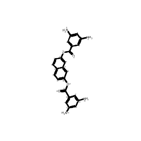 Nc1cc(N)cc(C(=O)Oc2ccc3ccc(OC(=O)c4cc(N)cc(N)c4)cc3c2)c1